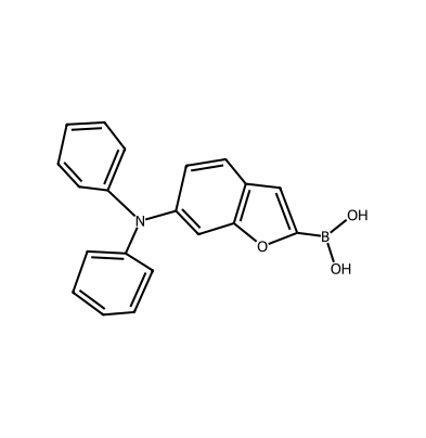 OB(O)c1cc2ccc(N(c3ccccc3)c3ccccc3)cc2o1